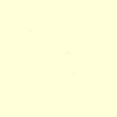 COc1ccc(S(=O)(=O)N2CC=CCC(N(c3ccccc3)S(C)(=O)=O)C2C(=O)O)cc1